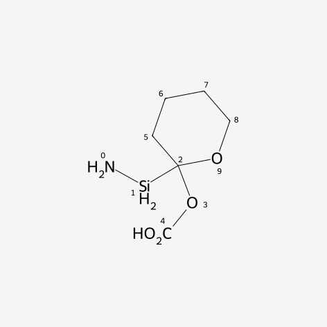 N[SiH2]C1(OC(=O)O)CCCCO1